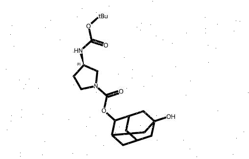 CC(C)(C)OC(=O)N[C@@H]1CCN(C(=O)OC2C3CC4CC2CC(O)(C4)C3)C1